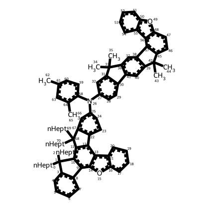 CCCCCCCC1(CCCCCCC)c2ccccc2-c2c1c1c(c3c2oc2ccccc23)-c2ccc(N(c3ccc4c(c3)C(C)(C)c3cc5c(cc3-4)C(C)(C)c3ccc4oc6ccccc6c4c3-5)c3ccc(C)cc3C)cc2C1(CCCCCCC)CCCCCCC